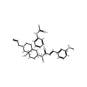 C=CCN1CC[C@@]2(c3cccc(OC(C)=O)c3)C[C@@H](N(C)C(=O)C=Cc3cccc(OC)c3)CC[C@@H]2C1